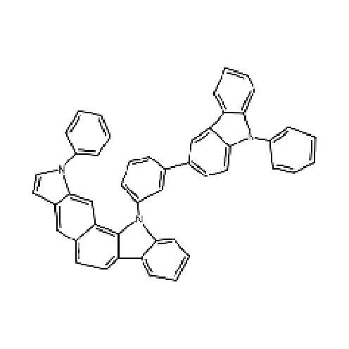 c1ccc(-n2ccc3cc4ccc5c6ccccc6n(-c6cccc(-c7ccc8c(c7)c7ccccc7n8-c7ccccc7)c6)c5c4cc32)cc1